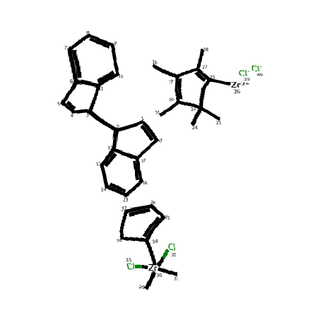 C1=CC(C2C=Cc3ccccc32)c2ccccc21.CC1=C(C)C(C)(C)[C]([Zr+2])=C1C.[CH3][Zr]([CH3])([Cl])([Cl])[C]1=CC=CC1.[Cl-].[Cl-]